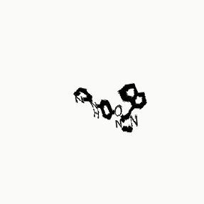 c1ccc(Nc2ccc(Oc3nccnc3-c3cccc4ccccc34)cc2)nc1